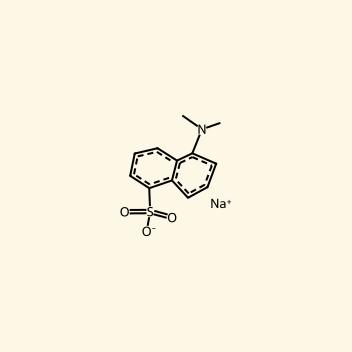 CN(C)c1cccc2c(S(=O)(=O)[O-])cccc12.[Na+]